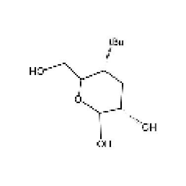 CC(C)(C)[C@@H]1C[C@H](O)C(O)OC1CO